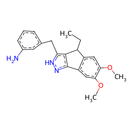 CCC1c2cc(OC)c(OC)cc2-c2n[nH]c(Cc3cccc(N)c3)c21